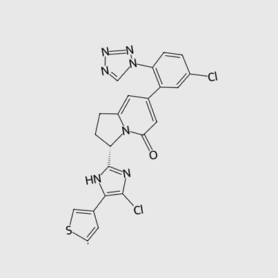 O=c1cc(-c2cc(Cl)ccc2-n2cnnn2)cc2n1[C@H](c1nc(Cl)c(-c3c[c]sc3)[nH]1)CC2